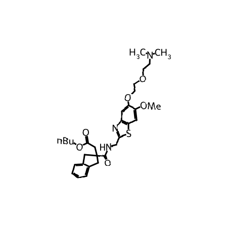 CCCCOC(=O)CC1(C(=O)NCc2nc3cc(OCCOCCN(C)C)c(OC)cc3s2)Cc2ccccc2C1